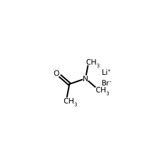 CC(=O)N(C)C.[Br-].[Li+]